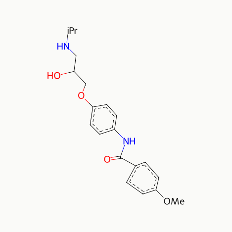 COc1ccc(C(=O)Nc2ccc(OCC(O)CNC(C)C)cc2)cc1